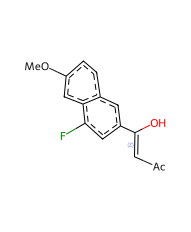 COc1ccc2cc(/C(O)=C/C(C)=O)cc(F)c2c1